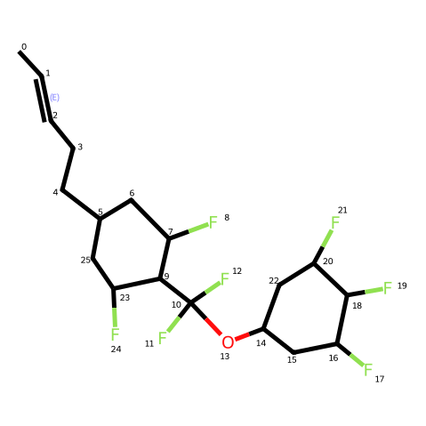 C/C=C/CCC1CC(F)C(C(F)(F)OC2CC(F)C(F)C(F)C2)C(F)C1